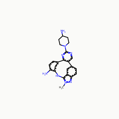 Cn1nc2ccc3cc2c1Nc1cc(ccc1N)-c1nc(N2CCC(N)CC2)ncc1-3